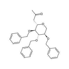 CC(=O)C[C@@H]1OC[C@@H](OCc2ccccc2)[C@H](OCc2ccccc2)[C@H]1OCc1ccccc1